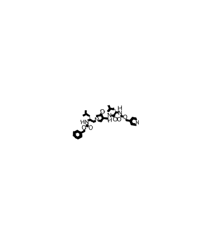 CC(C)C[C@H](CN1CC(=O)C(CNC(=O)[C@H](CC(C)C)NC(=O)OCc2ccncc2)C1)NC(=O)OCc1ccccc1